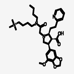 CCCCN(CCCC[N+](C)(C)C)C(=O)CN1C[C@H](c2cc(OC)c3c(c2)OCO3)[C@@H](C(=O)O)[C@@H]1CCc1ccccn1